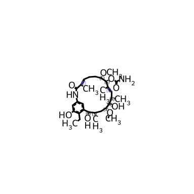 CCc1c(O)cc2cc1[C@H](O)[C@@H](C)C[C@H](OC)[C@H](O)[C@@H](C)/C=C(\C)[C@H](OC(N)=O)[C@@H](OC)CC/C=C(\C)C(=O)N2